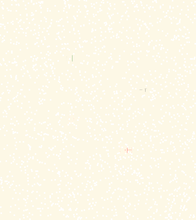 CCC(c1cccc(Cl)c1)c1cc(O)c2c(c1)OC(C)(C)C1=C2CCC1